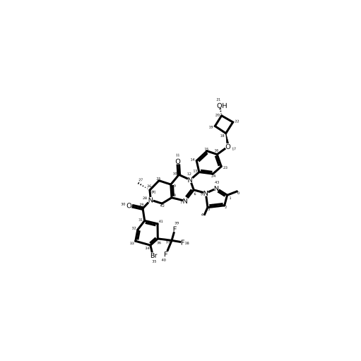 Cc1cc(C)n(-c2nc3c(c(=O)n2-c2ccc(O[C@H]4C[C@H](O)C4)cc2)C[C@@H](C)N(C(=O)c2ccc(Br)c(C(F)(F)F)c2)C3)n1